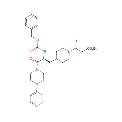 CCOC(=O)CC(=O)N1CCC(C[C@H](NC(=O)OCc2ccccc2)C(=O)N2CCN(c3ccncc3)CC2)CC1